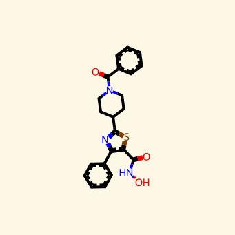 O=C(NO)c1sc(C2CCN(C(=O)c3ccccc3)CC2)nc1-c1ccccc1